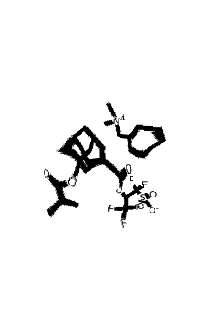 C=C(C)C(=O)OC12CC3CC(C1)CC(C(=O)OC(C(F)(F)F)C(F)(F)S(=O)(=O)[O-])(C3)C2.C[N+](C)(C)Cc1ccccc1